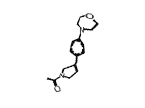 CC(=O)N1CCC(c2ccc(N3CCOCC3)cc2)C1